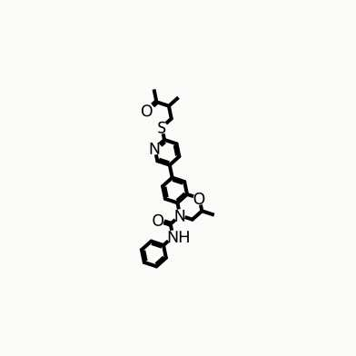 CC(=O)C(C)CSc1ccc(-c2ccc3c(c2)OC(C)CN3C(=O)Nc2ccccc2)cn1